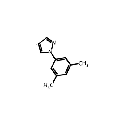 Cc1cc(C)cc(-n2c[c]cn2)c1